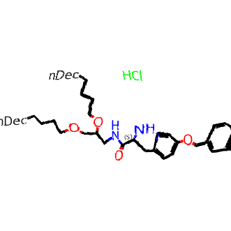 CCCCCCCCCCCCCCOCC(CNC(=O)[C@@H](N)Cc1ccc(OCc2ccccc2)cc1)OCCCCCCCCCCCCCC.Cl